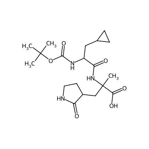 CC(C)(C)OC(=O)NC(CC1CC1)C(=O)NC(C)(CC1CCNC1=O)C(=O)O